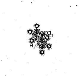 C[C@H]1O[C@@H](OC[C@H]2O[C@@H](OC(=N)C(Cl)(Cl)Cl)[C@H](OC(=O)c3ccccc3)[C@@H](OC(=O)c3ccccc3)[C@@H]2OC(=O)c2ccccc2)C(OC(=O)c2ccccc2)[C@@H](OC(=O)c2ccccc2)[C@@H]1OC(=O)c1ccccc1